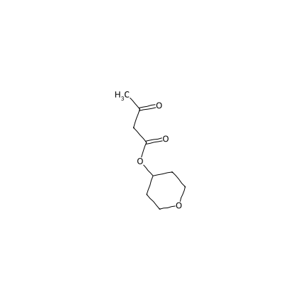 CC(=O)CC(=O)OC1CCOCC1